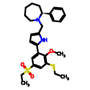 CCSc1cc(S(=O)(=O)CC)cc(-c2ccc(CN3CCCCC[C@@H]3c3ccccc3)[nH]2)c1OC